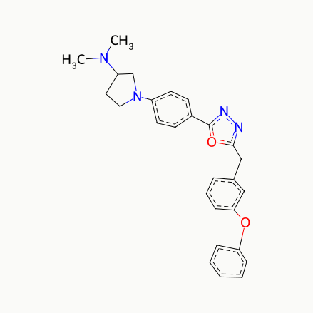 CN(C)C1CCN(c2ccc(-c3nnc(Cc4cccc(Oc5ccccc5)c4)o3)cc2)C1